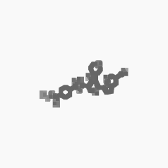 CNC1CCC(c2nnc(-c3cnc(-c4ccc5cc(C#N)cnn45)cc3NC3CCOCC3)s2)CC1